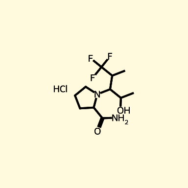 CC(O)C(C(C)C(F)(F)F)N1CCCC1C(N)=O.Cl